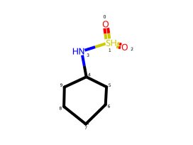 O=[SH](=O)NC1CC[CH]CC1